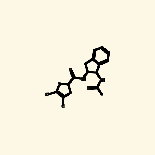 CC(=O)NC1c2ccccc2CC1NC(=O)C1CC(Cl)=C(Cl)S1